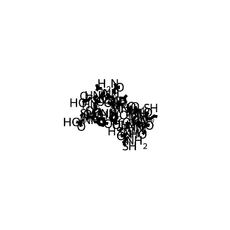 CC[C@H](C)[C@H](NC(=O)[C@H](CO)NC(=O)[C@@H](NC(=O)[C@H](CS)NC(=O)[C@@H](N)CS)[C@@H](C)O)C(=O)N[C@@H](CS)C(=O)N[C@@H](CO)C(=O)N[C@@H](CC(C)C)C(=O)N[C@@H](Cc1ccc(O)cc1)C(=O)N[C@@H](CCC(N)=O)C(=O)N[C@@H](CC(C)C)C(=O)N[C@@H](CCC(=O)O)C(=O)N[C@@H](CC(N)=O)C(=O)N[C@@H](Cc1ccc(O)cc1)C(=O)N[C@@H](CS)C(=O)O